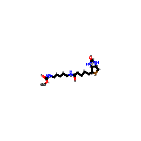 CC(C)(C)OC(=O)NCCCCCNC(=O)CCCCC1SCC2NC(=O)NC21